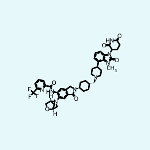 Cn1c(=O)n(C2CCC(=O)NC2=O)c2cccc(C3CCN(C[C@H]4CC[C@H](N5Cc6cc(NC(=O)c7cccc(C(F)(F)F)n7)c(N7C[C@@H]8C[C@H]7CO8)cc6C5=O)CC4)CC3)c21